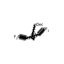 CCCCCCCCCCCCCCCCCC(=O)Oc1c(CSCCC(F)(F)C(F)(F)C(F)(F)C(F)(F)C(F)(F)C(F)(F)F)cc(C)cc1CSCCC(F)(F)C(F)(F)C(F)(F)C(F)(F)C(F)(F)C(F)(F)F